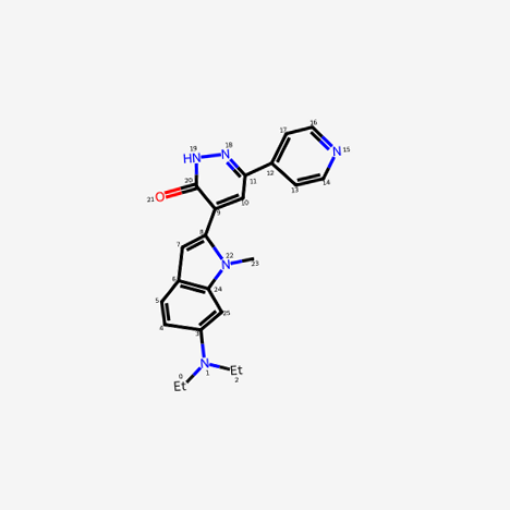 CCN(CC)c1ccc2cc(-c3cc(-c4ccncc4)n[nH]c3=O)n(C)c2c1